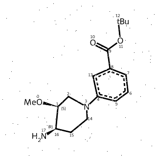 CO[C@H]1CN(c2cccc(C(=O)OC(C)(C)C)c2)CC[C@H]1N